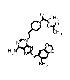 Bc1cc2c(cc1Sc1nc3c(N)ncn(CCC4CCN(C(=O)[C@H](C)OC(C)=O)CC4)c-3n1)OCO2